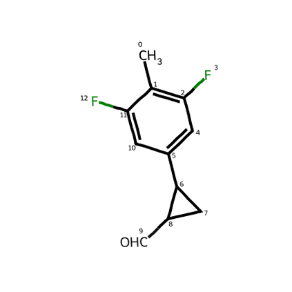 Cc1c(F)cc(C2CC2C=O)cc1F